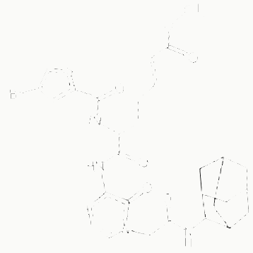 COC(=O)/C=C/CCC(NC(=O)c1cc(Br)cs1)C(=O)Nc1cccn(CC(=O)NC2C3CC4CC(C3)CC2C4)c1=O